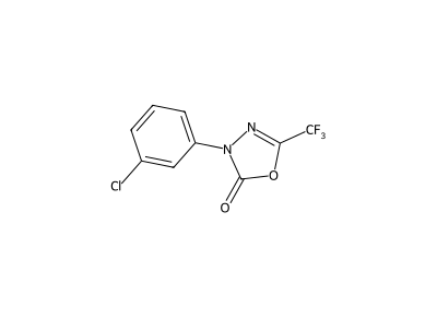 O=c1oc(C(F)(F)F)nn1-c1cccc(Cl)c1